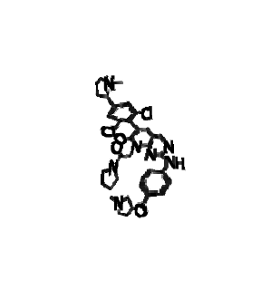 CN1CCC(Oc2ccc(Nc3ncc4cc(-c5c(Cl)cc(C6CCCN6C)cc5Cl)c(=O)n(CC(=O)N5CCCC5)c4n3)cc2)C1